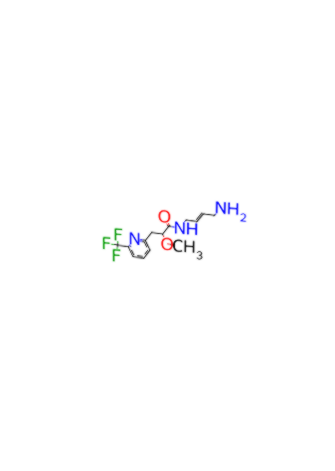 COC(Cc1cccc(C(F)(F)F)n1)C(=O)NCC=CCN